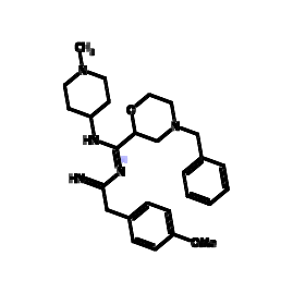 COc1ccc(CC(=N)/N=C(\NC2CCN(C)CC2)C2CN(Cc3ccccc3)CCO2)cc1